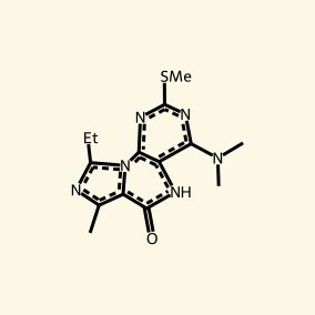 CCc1nc(C)c2c(=O)[nH]c3c(N(C)C)nc(SC)nc3n12